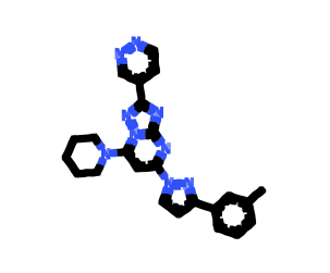 Cc1cccc(-c2ccn(-c3cc(N4CCCCC4)n4nc(-c5ccnnc5)nc4n3)n2)c1